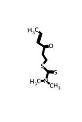 C/C=C/C(=O)CCSC(=S)N(C)C